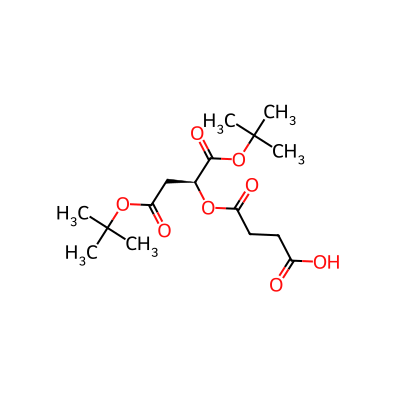 CC(C)(C)OC(=O)C[C@H](OC(=O)CCC(=O)O)C(=O)OC(C)(C)C